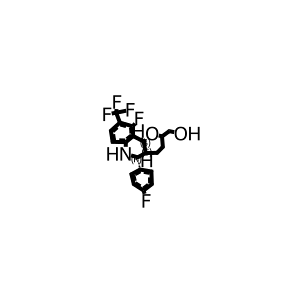 OCC1CC[C@@H]2[C@H](O1)c1c(ccc(C(F)(F)F)c1F)N[C@H]2c1ccc(F)cc1